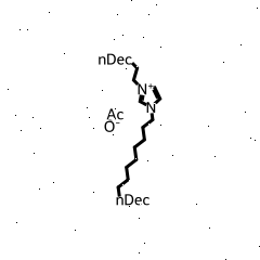 CC(=O)[O-].CCCCCCCCCCCCCCCCCCn1cc[n+](CCCCCCCCCCCC)c1